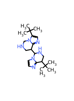 CC(C)(C)c1cnc2n1CNCC2C1NCC(C(C)(C)C)c2nccn21